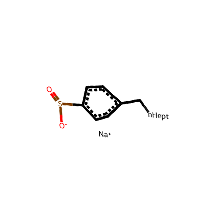 CCCCCCCCc1ccc(S(=O)[O-])cc1.[Na+]